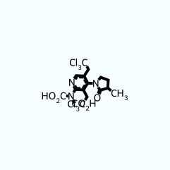 CC1CCN(c2c(CC(Cl)(Cl)Cl)cnc(N(C(=O)O)C(=O)O)c2CC(Cl)(Cl)Cl)C1=O